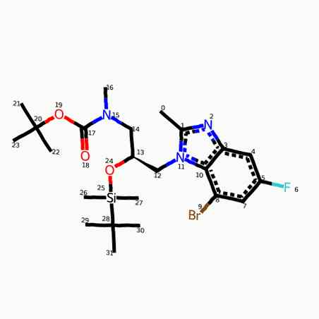 Cc1nc2cc(F)cc(Br)c2n1C[C@H](CN(C)C(=O)OC(C)(C)C)O[Si](C)(C)C(C)(C)C